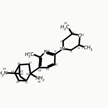 Cc1nc(N2CC(C)OC(C)C2)ccc1C1(N)CC2CCC1CC2N